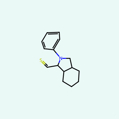 S=CC1C2CCCCC2CN1c1ccccc1